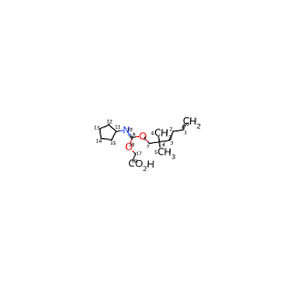 C=CCCC(C)(C)COC(=NC1CCCC1)OCC(=O)O